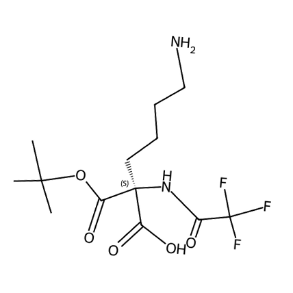 CC(C)(C)OC(=O)[C@@](CCCCN)(NC(=O)C(F)(F)F)C(=O)O